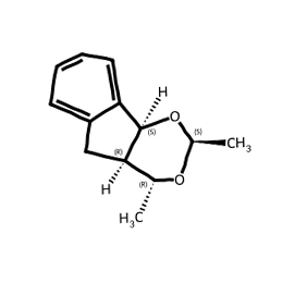 C[C@@H]1O[C@@H]2c3ccccc3C[C@@H]2[C@@H](C)O1